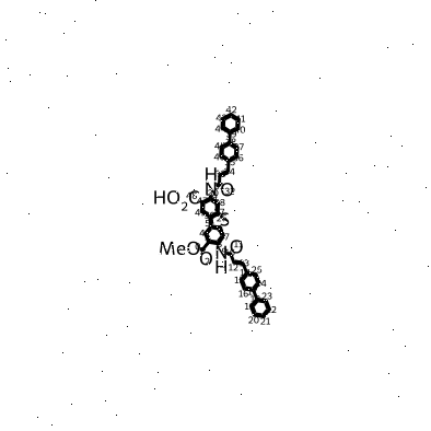 COC(=O)c1cc2c(cc1NC(=O)C=Cc1ccc(-c3ccccc3)cc1)sc1cc(NC(=O)C=Cc3ccc(-c4ccccc4)cc3)c(C(=O)O)cc12